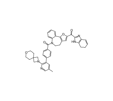 Cc1cnc(N2CC3(CCOCC3)C2)c(-c2ccc(C(=O)N3CCc4cc(C(=O)c5nc6c([nH]5)CCC=C6)oc4-c4ccccc43)cc2)c1